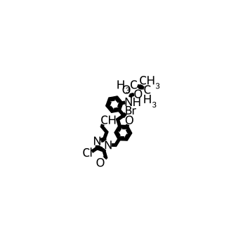 CCCc1nc(Cl)c(C=O)n1Cc1ccc2c(c1)CC(Br)(c1ccccc1NC(=O)OC(C)(C)C)O2